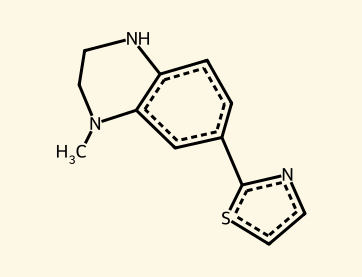 CN1CCNc2ccc(-c3nccs3)cc21